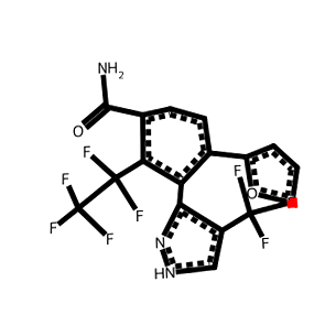 NC(=O)c1ccc(-c2ccno2)c(-c2n[nH]cc2C(F)(F)F)c1C(F)(F)C(F)(F)F